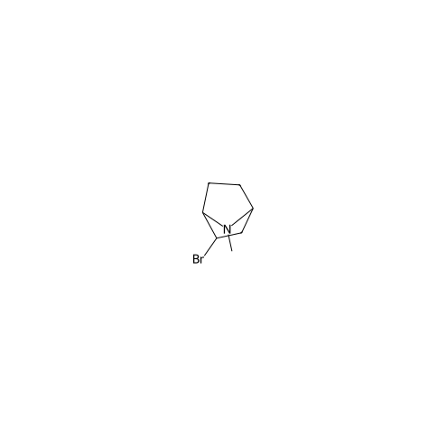 CN1C2CCC1C(Br)C2